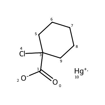 O=C([O-])C1(Cl)CCCCC1.[Hg+]